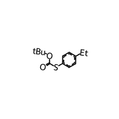 CCc1ccc(SC(=O)OC(C)(C)C)cc1